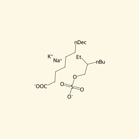 CCCCC(CC)COS(=O)(=O)[O-].CCCCCCCCCCCCCCCC(=O)[O-].[K+].[Na+]